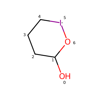 OC1CCC[I]O1